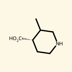 CC1CNCC[C@@H]1C(=O)O